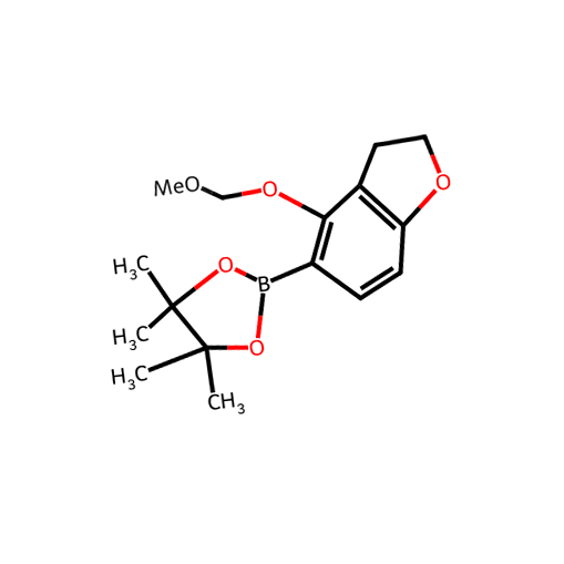 COCOc1c(B2OC(C)(C)C(C)(C)O2)ccc2c1CCO2